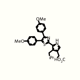 COc1ccc(-c2nc(-c3[nH]cc(CC(=O)O)c3CC(C)C)sc2-c2ccc(OC)cc2)cc1